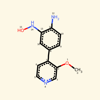 COc1cnccc1-c1ccc(N)c(NO)c1